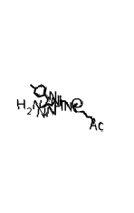 CC(=O)CCCCC(=O)NCC(C)(C)n1nc(C2=CCC(C)C=C2)c2c(N)ncnc21